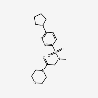 CN(CC(=O)N1CCOCC1)S(=O)(=O)c1ccc(N2CCCC2)nn1